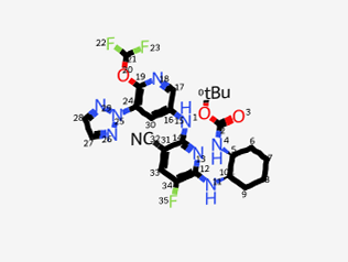 CC(C)(C)OC(=O)N[C@H]1CCCC[C@H]1Nc1nc(Nc2cnc(OC(F)F)c(-n3nccn3)c2)c(C#N)cc1F